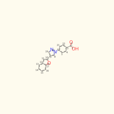 O=C(O)c1ccc(-n2cc(-c3cc4ccccc4o3)cn2)cc1